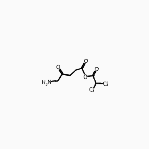 NCC(=O)CCC(=O)OC(=O)C(Cl)Cl